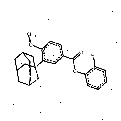 COc1ccc(C(=O)Oc2ccccc2F)cc1C12CC3CC(CC(C3)C1)C2